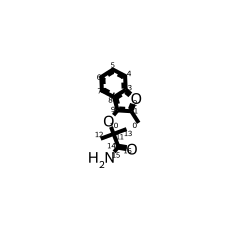 Cc1oc2ccccc2c1OC(C)(C)C(N)=O